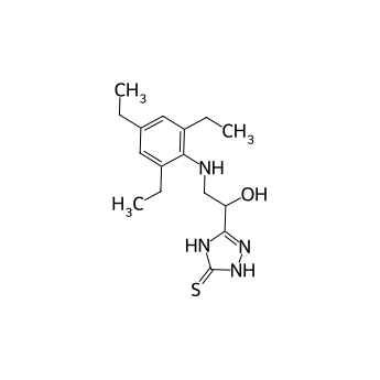 CCc1cc(CC)c(NCC(O)c2n[nH]c(=S)[nH]2)c(CC)c1